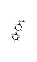 CNC1CCN(c2ncccn2)CC1